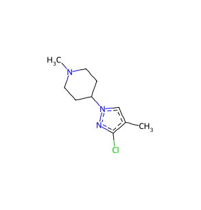 Cc1cn(C2CCN(C)CC2)nc1Cl